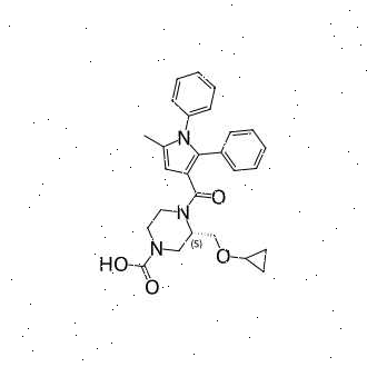 Cc1cc(C(=O)N2CCN(C(=O)O)C[C@H]2COC2CC2)c(-c2ccccc2)n1-c1ccccc1